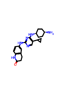 N[C@H]1CC[C@@H](Nc2nc(Nc3ccc4c(c3)CCC(=O)N4)ncc2C2CC2)CC1